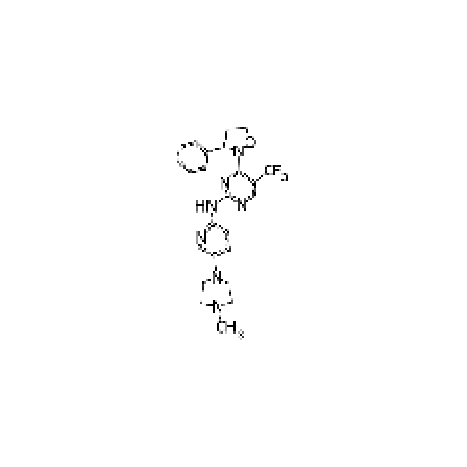 CN1CCN(c2ccc(Nc3ncc(C(F)(F)F)c(N4OCCC4c4ccccc4)n3)nc2)CC1